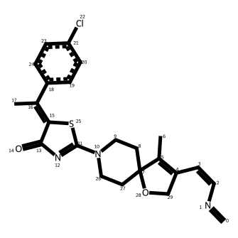 C=N/C=C\C1=C(C)C2(CCN(C3=NC(=O)/C(=C(\C)c4ccc(Cl)cc4)S3)CC2)OC1